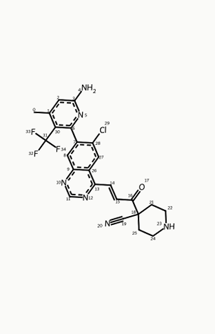 Cc1cc(N)nc(-c2cc3ncnc(C=CC(=O)C4(C#N)CCNCC4)c3cc2Cl)c1C(F)(F)F